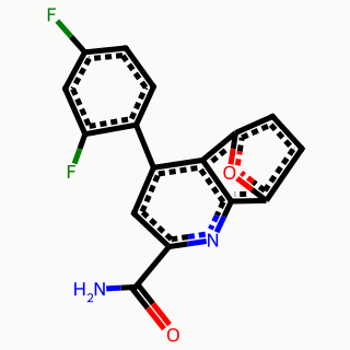 NC(=O)c1cc(-c2ccc(F)cc2F)c2c3ccc(o3)c2n1